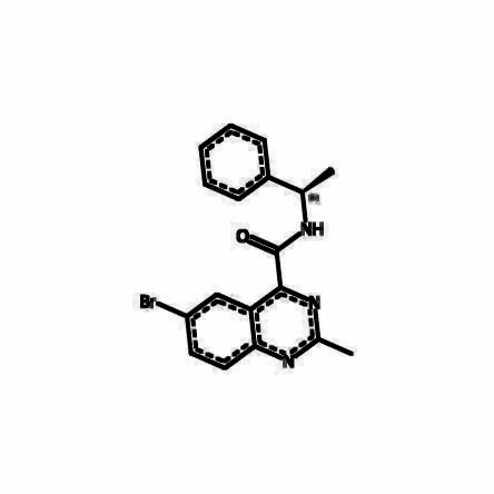 Cc1nc(C(=O)N[C@H](C)c2ccccc2)c2cc(Br)ccc2n1